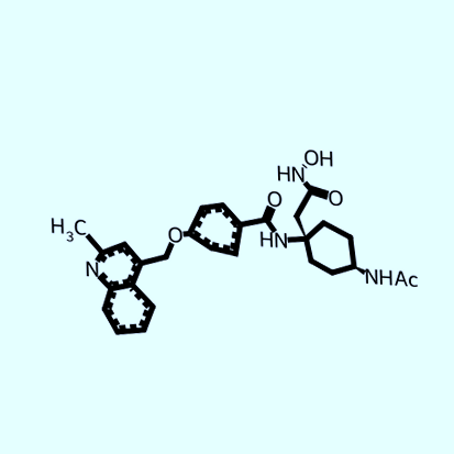 CC(=O)N[C@H]1CC[C@](CC(=O)NO)(NC(=O)c2ccc(OCc3cc(C)nc4ccccc34)cc2)CC1